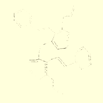 C=CCc1cccc(Oc2cccc(CC=C)c2C=Cc2ccccc2)c1C=Cc1ccccc1